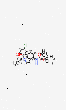 CCC(CO)(c1ccc(Cl)cc1)n1ccc2c(NC(=O)OC(C)(C)C)cccc21